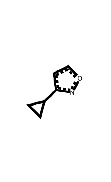 [c]1cc(C2CC2)no1